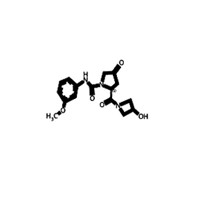 COc1cccc(NC(=O)N2CC(=O)C[C@H]2C(=O)N2CC(O)C2)c1